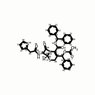 CC(=O)OC(C1=C(C(=O)OC(c2ccccc2)c2ccccc2)N2C(=O)[C@@H](NC(=O)Cc3cccs3)[C@H]2SC1)c1ccccc1